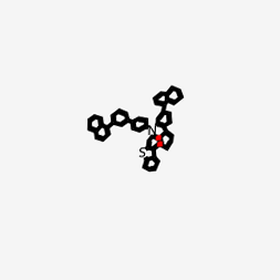 c1ccc(-c2ccc(-c3cccc4ccccc34)cc2N(c2ccc(-c3cccc(-c4cccc5ccccc45)c3)cc2)c2ccc3c(c2)sc2ccccc23)cc1